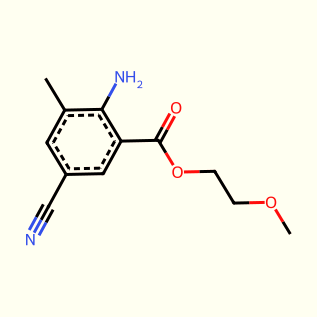 COCCOC(=O)c1cc(C#N)cc(C)c1N